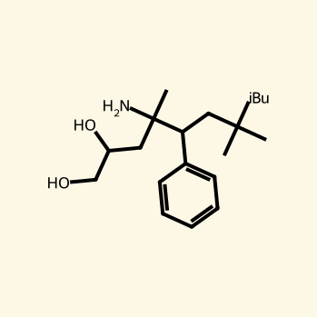 CCC(C)C(C)(C)CC(c1ccccc1)C(C)(N)CC(O)CO